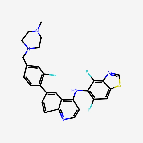 CN1CCN(Cc2ccc(-c3ccc4nccc(Nc5c(F)cc6scnc6c5F)c4c3)c(F)c2)CC1